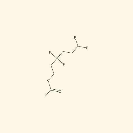 CC(=O)SCCC(F)(F)CCC(F)F